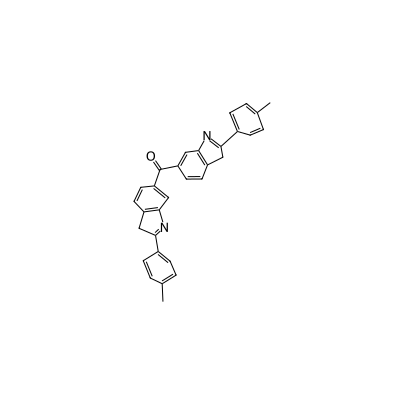 Cc1ccc(C2=Nc3cc(C(=O)c4ccc5c(c4)N=C(c4ccc(C)cc4)C5)ccc3C2)cc1